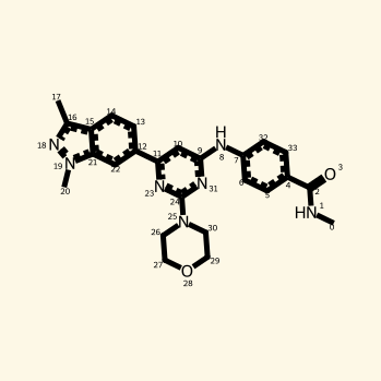 CNC(=O)c1ccc(Nc2cc(-c3ccc4c(C)nn(C)c4c3)nc(N3CCOCC3)n2)cc1